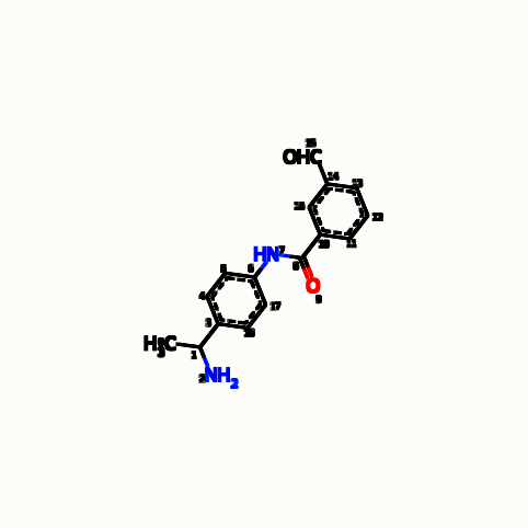 CC(N)c1ccc(NC(=O)c2cccc(C=O)c2)cc1